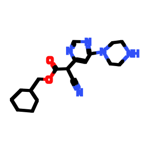 N#CC(C(=O)OCC1CCCCC1)c1cc(N2CCNCC2)ncn1